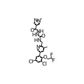 Cc1cc(-c2cc(Cl)cc(Cl)c2OCC(F)F)cnc1CNC(=O)NNC(=O)c1cnn(C)c1